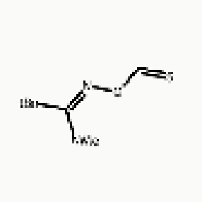 CN/C(=N\OC=S)C(C)(C)C